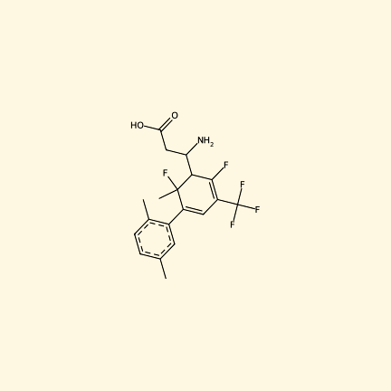 Cc1ccc(C)c(C2=CC(C(F)(F)F)=C(F)C(C(N)CC(=O)O)C2(C)F)c1